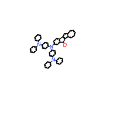 O=C1c2cc(N(c3ccc(N(c4ccccc4)c4ccccc4)cc3)c3ccc(N(c4ccccc4)c4ccccc4)cc3)ccc2-c2cc3cccccc-3c21